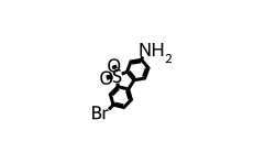 Nc1ccc2c(c1)S(=O)(=O)c1cc(Br)ccc1-2